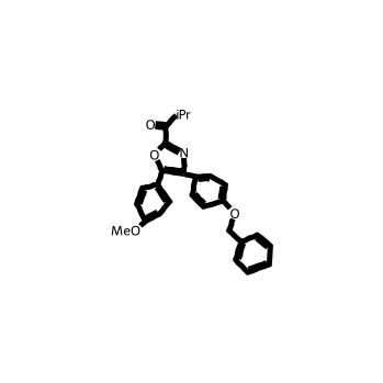 COc1ccc(-c2oc(C(=O)C(C)C)nc2-c2ccc(OCc3ccccc3)cc2)cc1